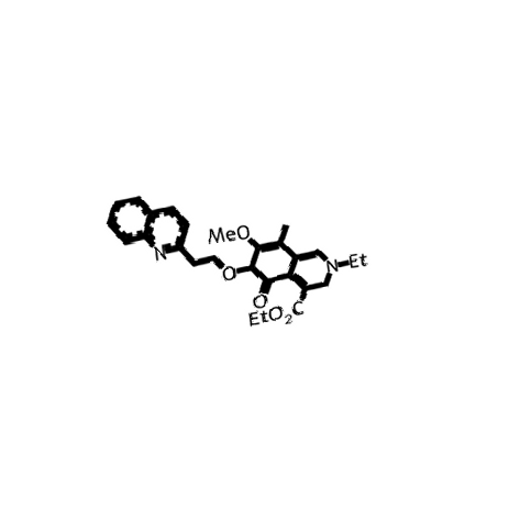 CCOC(=O)C1=C2C(=O)C(OCCc3ccc4ccccc4n3)C(OC)=C(C)C2=CN(CC)C1